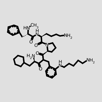 CN[C@@H](Cc1ccccc1)C(=O)N[C@@H](CCCCN)C(=O)N1CCC[C@H]1C(=O)C(Cc1ccccc1NCCCCCN)C(=O)[C@H](N)CC1CCCCC1